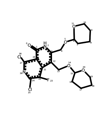 O=c1[nH]c(COC2CCCCO2)c(COC2CCCCO2)c2c(F)c(Cl)nc(Cl)c12